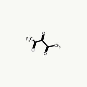 O=C(C(=O)C(F)(F)F)C(=O)C(F)(F)F